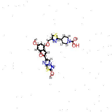 COc1cc(OCc2csc(C3CCN(C(=O)O)CC3)n2)c2cc(-c3cn4nc(OC)sc4n3)oc2c1